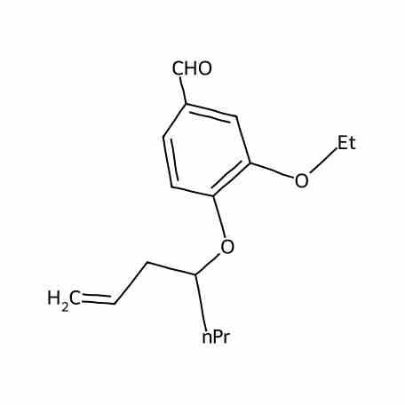 C=CCC(CCC)Oc1ccc(C=O)cc1OCC